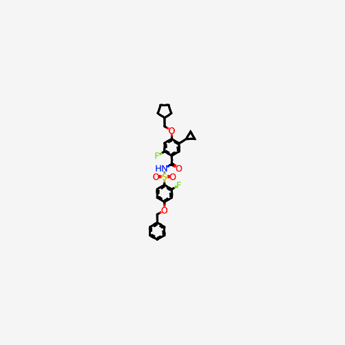 O=C(NS(=O)(=O)c1ccc(OCc2ccccc2)cc1F)c1cc(C2CC2)c(OCC2CCCC2)cc1F